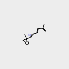 C=C(C)C=C/[C]=C/C1(C)CO1